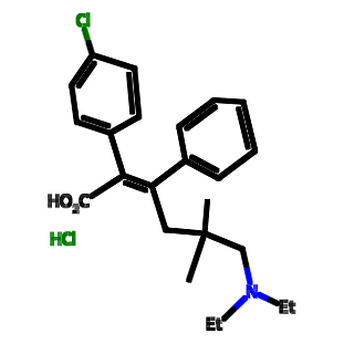 CCN(CC)CC(C)(C)CC(=C(C(=O)O)c1ccc(Cl)cc1)c1ccccc1.Cl